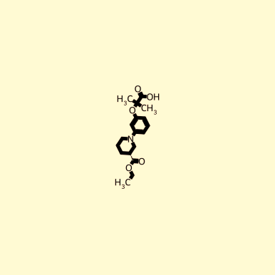 CCOC(=O)[C@@H]1CCCN(c2cccc(OC(C)(C)C(=O)O)c2)C1